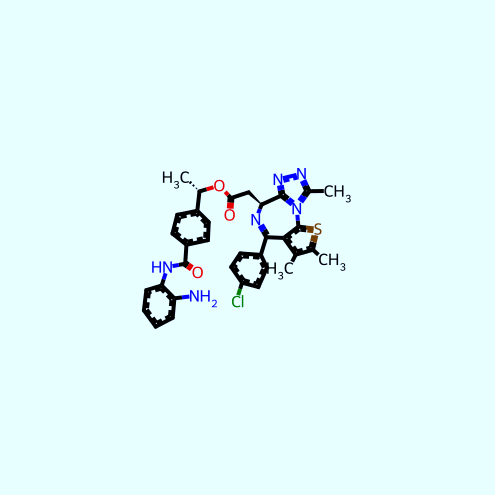 Cc1sc2c(c1C)C(c1ccc(Cl)cc1)=N[C@@H](CC(=O)O[C@@H](C)c1ccc(C(=O)Nc3ccccc3N)cc1)c1nnc(C)n1-2